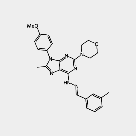 COc1ccc(-n2c(C)nc3c(NN=Cc4cccc(C)c4)nc(N4CCOCC4)nc32)cc1